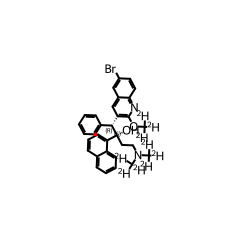 [2H]C([2H])([2H])Oc1nc2ccc(Br)cc2cc1[C@@H](c1ccccc1)[C@@](O)(CCN(C([2H])([2H])[2H])C([2H])([2H])[2H])c1cccc2ccccc12